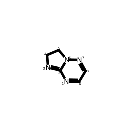 C1=NC2=NCCN2N=C1